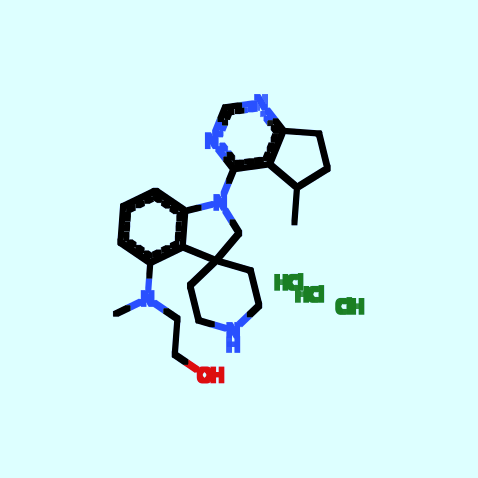 CC1CCc2ncnc(N3CC4(CCNCC4)c4c(N(C)CCO)cccc43)c21.Cl.Cl.Cl